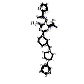 CC/C(C)=C1/N=C(N2CCCC(CN3CCN(c4cccnc4)CC3)C2)N=C(N)N1/N=C(\C)c1ccco1